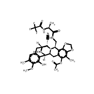 COc1c(C)cc2c(c1O)[C@@H]1C3Cc4c(OC(C)=O)c(C)c5c(c4[C@H](CNC(=O)[C@H](C)NC(=O)C(F)(F)F)N3[C@@H](C#N)[C@@H](C2)N1C)OCO5